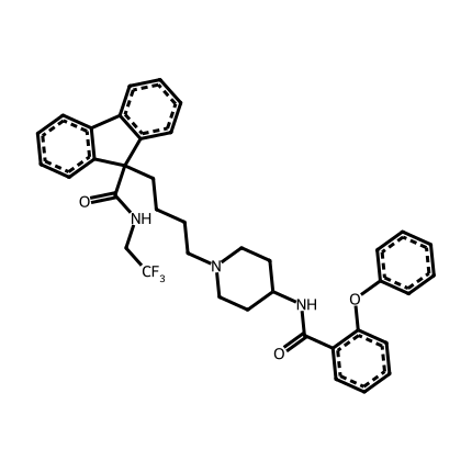 O=C(NC1CCN(CCCCC2(C(=O)NCC(F)(F)F)c3ccccc3-c3ccccc32)CC1)c1ccccc1Oc1ccccc1